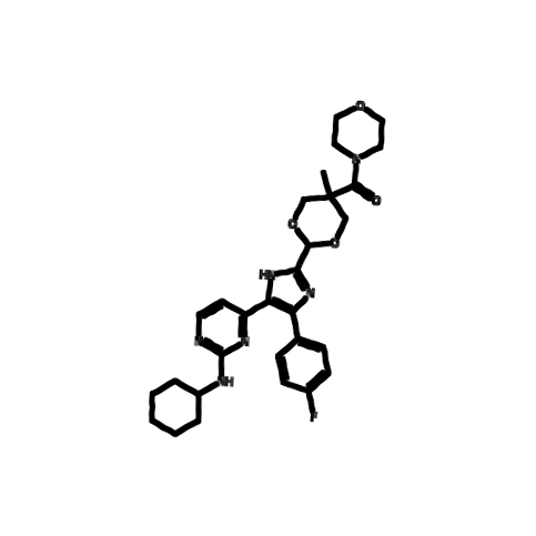 CC1(C(=O)N2CCOCC2)COC(c2nc(-c3ccc(F)cc3)c(-c3ccnc(NC4CCCCC4)n3)[nH]2)OC1